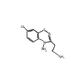 NCCC1=NSc2cc(Cl)ccc2N1N